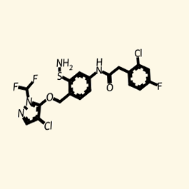 NSc1cc(NC(=O)Cc2ccc(F)cc2Cl)ccc1COc1c(Cl)cnn1C(F)F